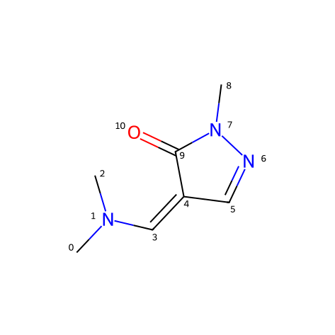 CN(C)C=C1C=NN(C)C1=O